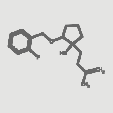 C=C(C)CCC1(O)CCCC1OCc1ccccc1F